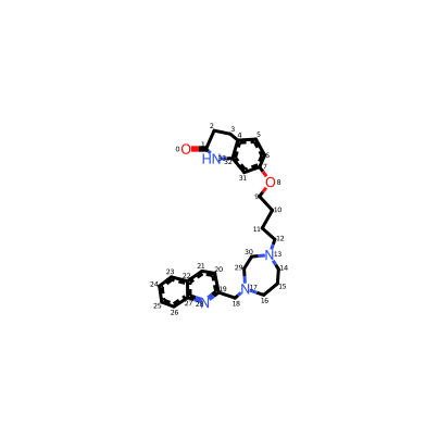 O=C1CCc2ccc(OCCCCN3CCCN(Cc4ccc5ccccc5n4)CC3)cc2N1